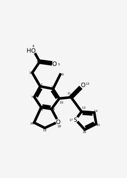 Cc1c(CC(=O)O)cc2c(c1C(=O)c1cccs1)OCC2